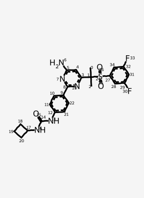 CC(C)(c1cc(N)nc(-c2ccc(NC(=O)NC3CCC3)cc2)n1)S(=O)(=O)c1cc(F)cc(F)c1